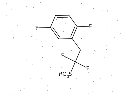 O=S(=O)(O)C(F)(F)Cc1cc(F)ccc1F